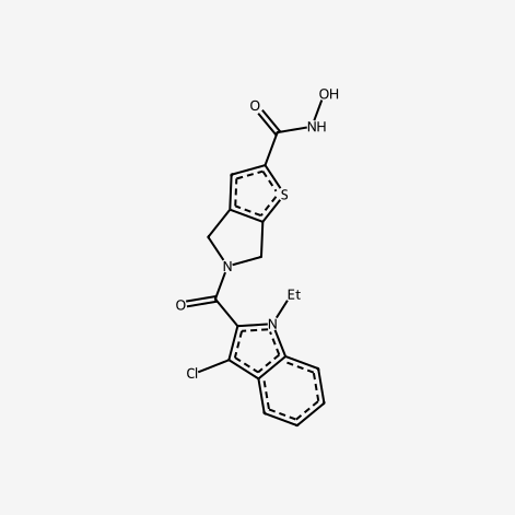 CCn1c(C(=O)N2Cc3cc(C(=O)NO)sc3C2)c(Cl)c2ccccc21